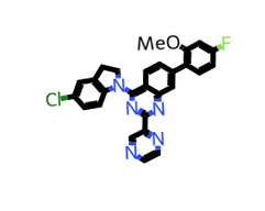 COc1cc(F)ccc1-c1ccc2c(N3CCc4cc(Cl)ccc43)nc(-c3cnccn3)nc2c1